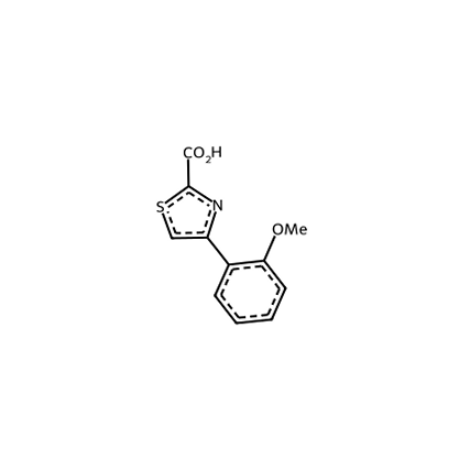 COc1ccccc1-c1csc(C(=O)O)n1